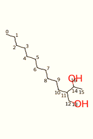 CCCCCCCCCCCC(CO)C(C)O